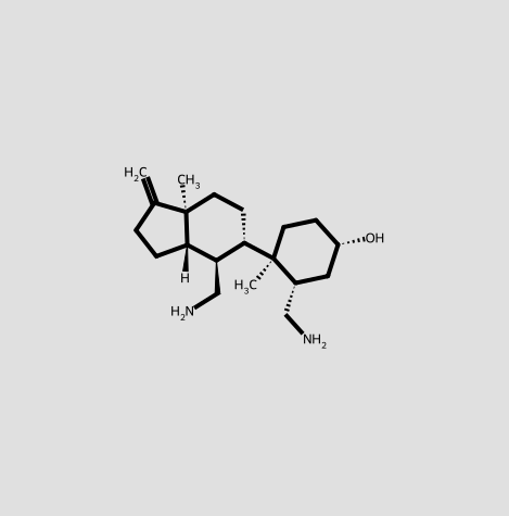 C=C1CC[C@H]2[C@H](CN)[C@@H]([C@@]3(C)CC[C@H](O)C[C@@H]3CN)CC[C@]12C